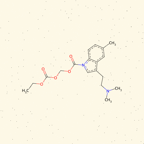 CCOC(=O)OCOC(=O)n1cc(CCN(C)C)c2cc(C)ccc21